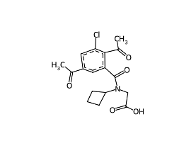 CC(=O)c1cc(Cl)c(C(C)=O)c(C(=O)N(CC(=O)O)C2CCC2)c1